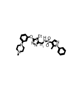 CCn1c(Oc2cccc(N3CCN(C)CC3)c2)nnc1[C@@H](C)NS(=O)(=O)c1cnn(-c2ccccc2)c1C